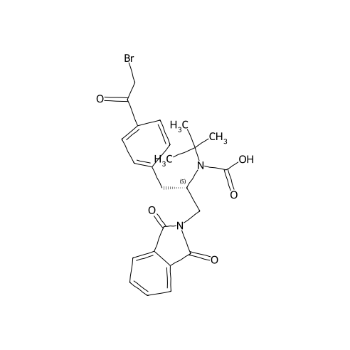 CC(C)(C)N(C(=O)O)[C@@H](Cc1ccc(C(=O)CBr)cc1)CN1C(=O)c2ccccc2C1=O